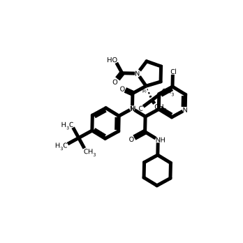 CC(C)(C)c1ccc(N(C(=O)[C@]2(C(C)(C)C)CCCN2C(=O)O)C(C(=O)NC2CCCCC2)c2cncc(Cl)c2)cc1